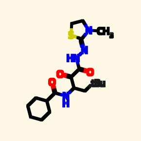 CN1CCSC1=NNC(=O)C(=O)C(CC(C)(C)C)NC(=O)C1CCCCC1